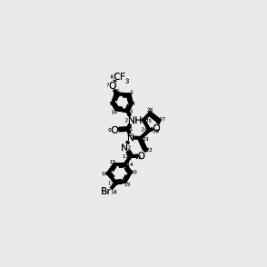 O=C(Nc1ccc(OC(F)(F)F)cc1)N1N=C(c2ccc(Br)cc2)OC=C1C1CC=CO1